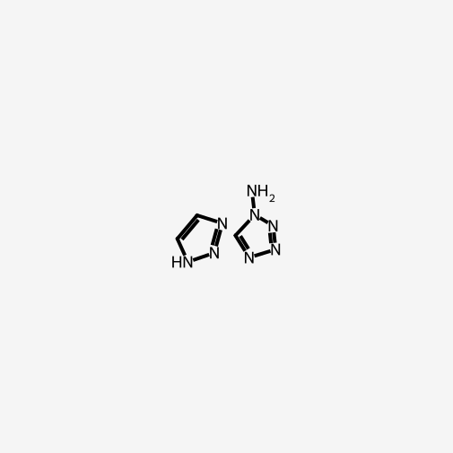 Nn1cnnn1.c1c[nH]nn1